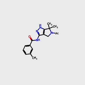 CC(=O)N1Cc2c(NC(=O)c3cccc(C)c3)n[nH]c2C1(C)C